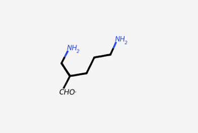 NCCCC([C]=O)CN